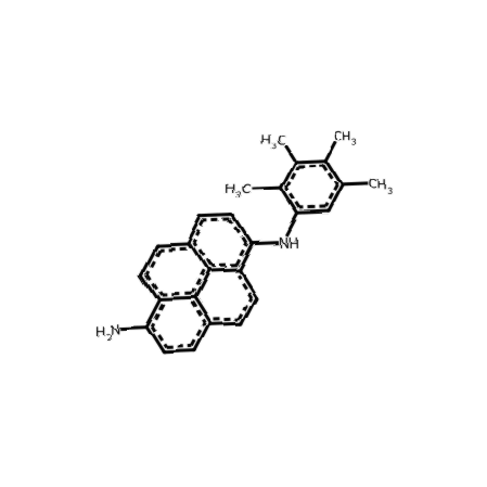 Cc1cc(Nc2ccc3ccc4c(N)ccc5ccc2c3c54)c(C)c(C)c1C